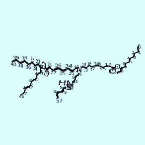 CCCCCCCCC(CC)OC(=O)CCCCCCCN(CCCCCCCC(=O)OC(CCCCCCCC)CCCCCCCC)CCCNSCCCC